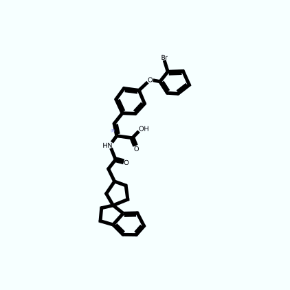 O=C(CC1CCC2(CCc3ccccc32)C1)N/C(=C/c1ccc(Oc2ccccc2Br)cc1)C(=O)O